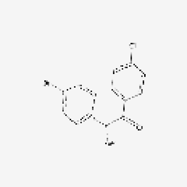 CCCC(C(=O)c1ccc(Cl)cc1)c1ccc(Br)cc1